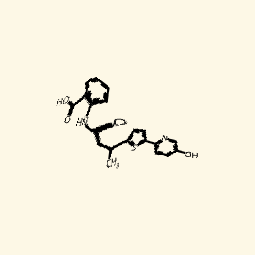 CC(CC(=O)Nc1ccccc1C(=O)O)c1ccc(-c2ccc(O)cn2)s1